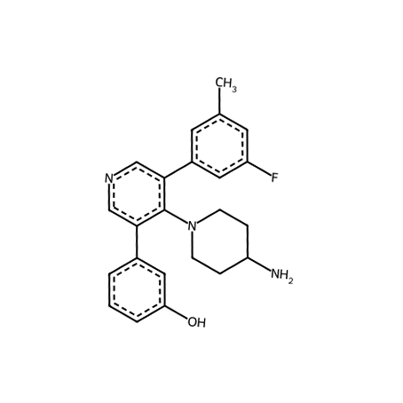 Cc1cc(F)cc(-c2cncc(-c3cccc(O)c3)c2N2CCC(N)CC2)c1